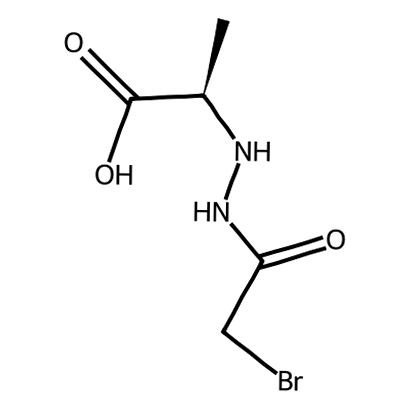 C[C@@H](NNC(=O)CBr)C(=O)O